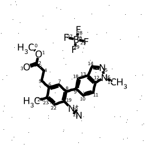 COC(=O)CCc1cc(-c2ccc3c(cnn3C)c2)c([N+]#N)cc1C.F[B-](F)(F)F